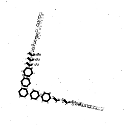 C1CCCCC1.C1CCCCC1.C1CCCCC1.C1CCCCC1.C1CCCCC1.C=CCCCC.C=CCCCC.C=CCCCC.C=CCCCC.C=CCCCC.[Al+3].[Al+3].[Al+3].[Al+3].[Al+3].[Cl-].[Cl-].[Cl-].[Cl-].[Cl-].[Cl-].[Cl-].[Cl-].[Cl-].[Cl-].[Cl-].[Cl-].[Cl-].[Cl-].[Cl-].[N].[N].[N].[N].[N]